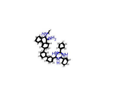 CCNC1c2ccccc2-c2cc(-c3cccc(-c4cccc(C5NC(C6=CCCC=C6)NC(c6ccccc6)N5)c4)c3)ccc2C1N